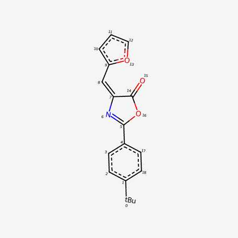 CC(C)(C)c1ccc(C2=N/C(=C/c3ccco3)C(=O)O2)cc1